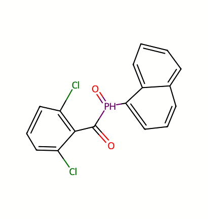 O=C(c1c(Cl)cccc1Cl)[PH](=O)c1cccc2ccccc12